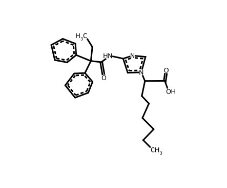 CCCCCCC(C(=O)O)n1cnc(NC(=O)C(CC)(c2ccccc2)c2ccccc2)c1